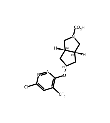 O=C(O)N1C[C@H]2C[C@@H](Oc3nnc(Cl)cc3C(F)(F)F)C[C@H]2C1